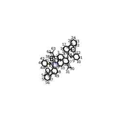 C=C(c1ccc2c(N(c3ccccc3)c3cccc4c3oc3ccccc34)cc(C(C)C)c3cc/c(=C(/BC)N(c4ccccc4)c4cccc5c4oc4ccccc45)c1c32)C(C)C